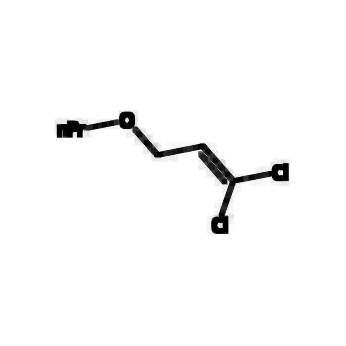 CCCOCC=C(Cl)Cl